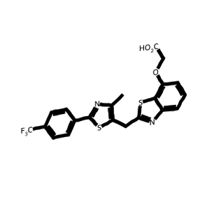 Cc1nc(-c2ccc(C(F)(F)F)cc2)sc1Cc1nc2cccc(OCC(=O)O)c2s1